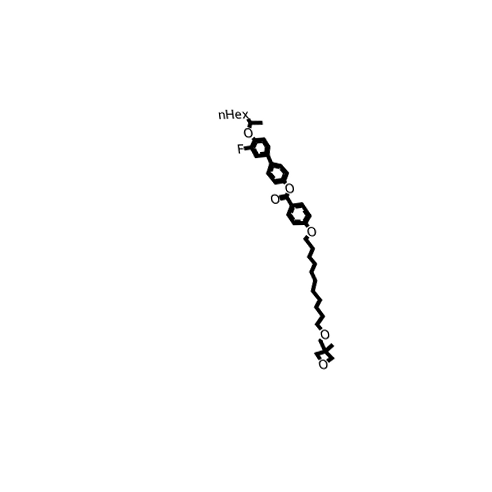 CCCCCCC(C)Oc1ccc(-c2ccc(OC(=O)c3ccc(OCCCCCCCCCCCOCC4(C)COC4)cc3)cc2)cc1F